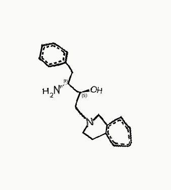 N[C@H](Cc1ccccc1)[C@@H](O)CN1CCc2ccccc2C1